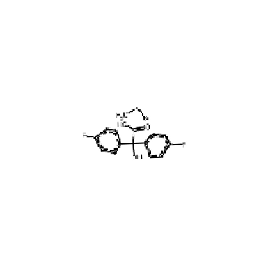 CCBr.O=C(O)C(O)(c1ccc(F)cc1)c1ccc(F)cc1